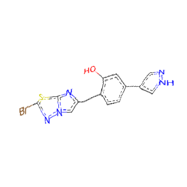 Oc1cc(-c2cn[nH]c2)ccc1-c1cn2nc(Br)sc2n1